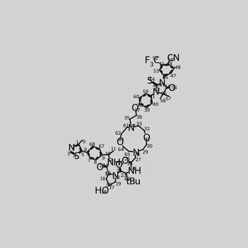 Cc1ncsc1-c1ccc(C(C)NC(=O)[C@@H]2C[C@@H](O)CN2C(=O)C(NC(=O)CN2CCOCCN(CCOc3ccc(N4C(=S)N(c5ccc(C#N)c(C(F)(F)F)c5)C(=O)C4(C)C)cc3)CCOCC2)C(C)(C)C)cc1